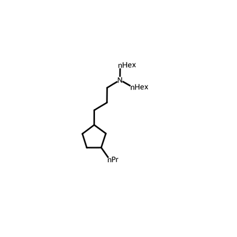 CCCCCCN(CCCCCC)CCCC1CCC(CCC)C1